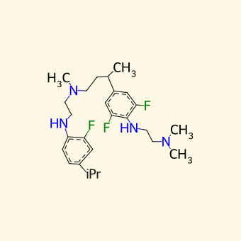 CC(C)c1ccc(NCCN(C)CCC(C)c2cc(F)c(NCCN(C)C)c(F)c2)c(F)c1